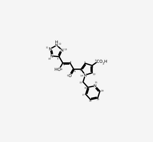 O=C(O)c1cc(C(=O)C=C(O)c2nn[nH]n2)n(Cc2ccccn2)c1